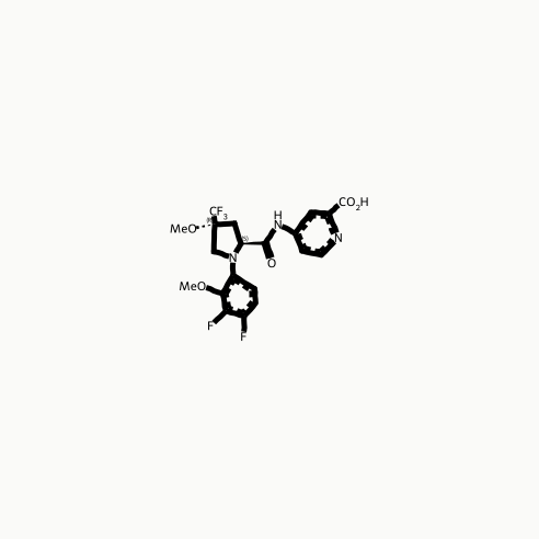 COc1c(N2C[C@@](OC)(C(F)(F)F)C[C@H]2C(=O)Nc2ccnc(C(=O)O)c2)ccc(F)c1F